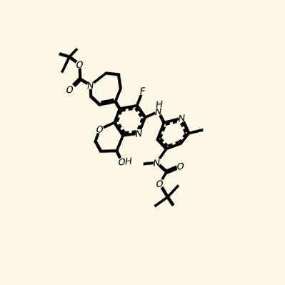 Cc1cc(N(C)C(=O)OC(C)(C)C)cc(Nc2nc3c(c(C4=CCN(C(=O)OC(C)(C)C)CCC4)c2F)OCCC3O)n1